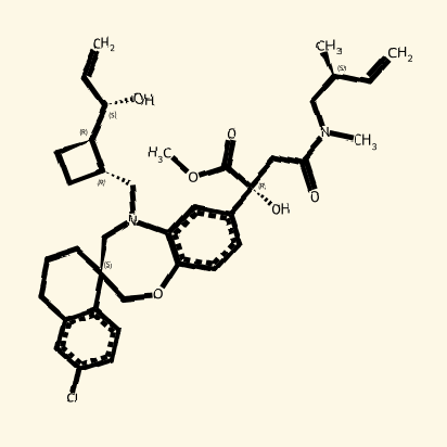 C=C[C@H](C)CN(C)C(=O)C[C@](O)(C(=O)OC)c1ccc2c(c1)N(C[C@@H]1CC[C@H]1[C@@H](O)C=C)C[C@@]1(CCCc3cc(Cl)ccc31)CO2